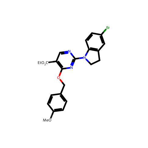 CCOC(=O)c1cnc(N2CCc3cc(Br)ccc32)nc1OCc1ccc(OC)cc1